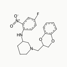 O=[N+]([O-])c1cc(F)ccc1NC1CCCN(CC2COc3ccccc3O2)C1